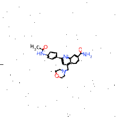 CC(=O)Nc1ccc(-c2cc(CN3CCOCC3)c3ccc(C(N)=O)cc3n2)cc1